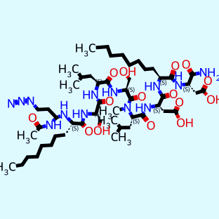 CCCCCCCC[C@H](NC(=O)[C@H](CC(=O)O)NC(=O)[C@H](CC(C)C)N(C)C(=O)[C@H](CO)NC(=O)[C@H](CC(C)C)NC(=O)[C@H](CO)NC(=O)[C@H](CCCCCCCC)NC(CCN=[N+]=[N-])NC(C)=O)C(=O)N[C@@H](CC(=O)O)C(N)=O